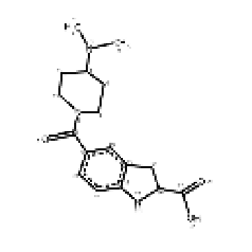 CN(C)C1CCN(C(=O)c2ccc3c(c2)CC(C(=O)O)N3)CC1